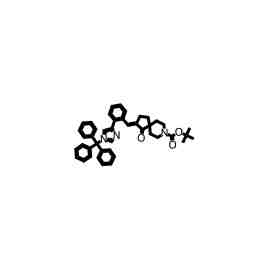 CC(C)(C)OC(=O)N1CCC2(CC/C(=C\c3ccccc3-c3cn(C(c4ccccc4)(c4ccccc4)c4ccccc4)cn3)C2=O)CC1